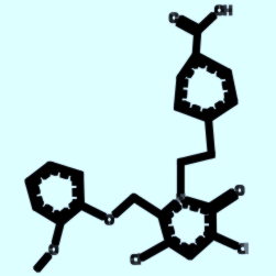 COc1ccccc1OCc1c(Cl)cc(Cl)c(=O)n1CCc1ccc(C(=O)O)cc1